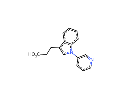 O=C(O)CCc1cn(-c2cccnc2)c2ccccc12